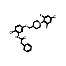 O=C(Cc1ccccc1)Nc1cc(OCC2CCN(c3c(F)cc(Cl)cc3F)CC2)ccc1Cl